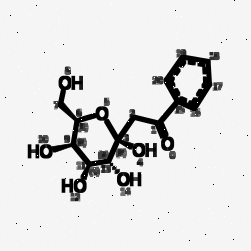 O=C(C[C@@]1(O)O[C@H](CO)[C@H](O)[C@H](O)[C@H]1O)c1ccccc1